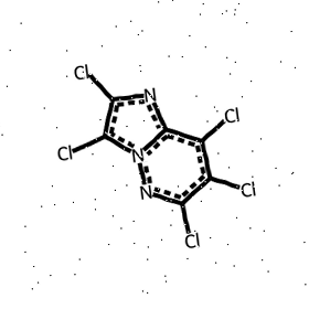 Clc1nn2c(Cl)c(Cl)nc2c(Cl)c1Cl